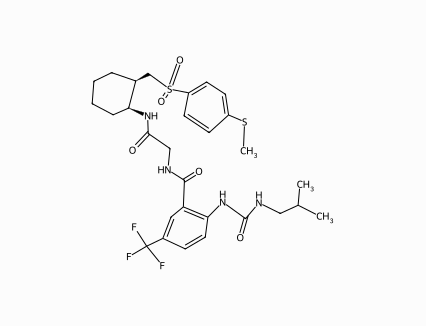 CSc1ccc(S(=O)(=O)C[C@@H]2CCCC[C@@H]2NC(=O)CNC(=O)c2cc(C(F)(F)F)ccc2NC(=O)NCC(C)C)cc1